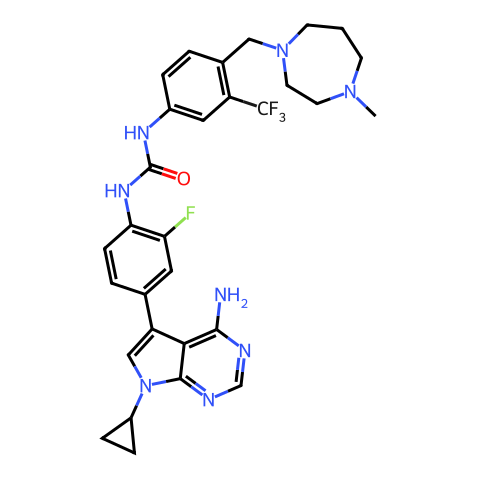 CN1CCCN(Cc2ccc(NC(=O)Nc3ccc(-c4cn(C5CC5)c5ncnc(N)c45)cc3F)cc2C(F)(F)F)CC1